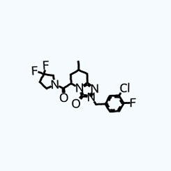 CC1Cc2nn(Cc3ccc(F)c(Cl)c3)c(=O)n2C(C(=O)N2CCC(F)(F)C2)C1